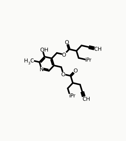 C#CCC(CC(C)C)C(=O)OCc1cnc(C)c(O)c1COC(=O)C(CC#C)CC(C)C